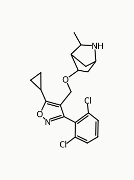 CC1NC2CC(OCc3c(-c4c(Cl)cccc4Cl)noc3C3CC3)C1C2